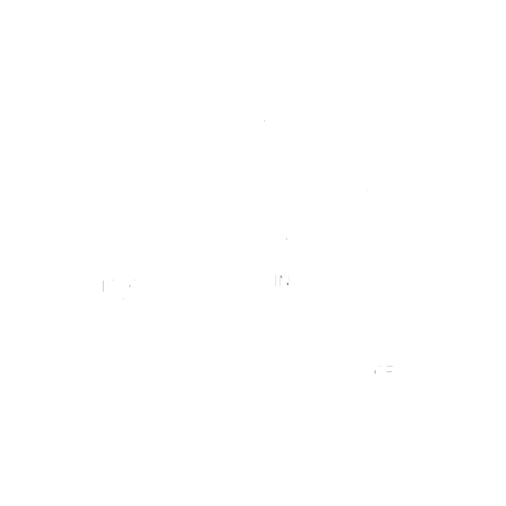 O=C(O)c1ccc(C2CC2)c(SNc2cc(C(F)(F)F)ccc2-c2cccs2)c1